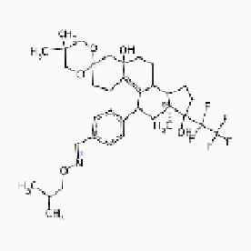 CC(C)CO/N=C/c1ccc(C2C[C@@]3(C)C(CCC3(O)C(F)(F)C(F)(F)F)C3CCC4(O)CC5(CCC4=C23)OCC(C)(C)CO5)cc1